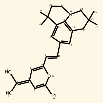 CC(C)C1=CC(=C(C#N)C#N)C=C(C=Cc2cc3c4c(c2)C(C)(C)CCN4CC(C)(C)C3)O1